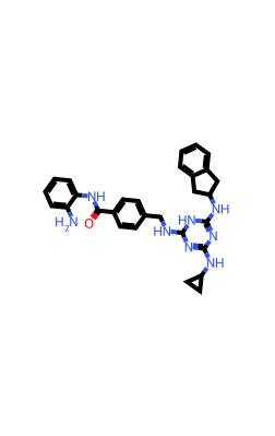 Nc1ccccc1NC(=O)c1ccc(CNC2N=C(NC3CC3)N=C(NC3Cc4ccccc4C3)N2)cc1